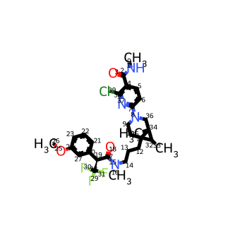 CNC(=O)c1ccc(N2CCC3(CCCN(C)C(=O)[C@H](c4cccc(OC)c4)C(F)(F)F)C(C)C3(C)C2)nc1Cl